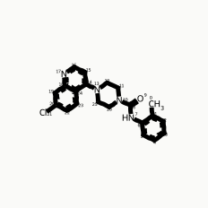 Cc1ccccc1NC(=O)N1CCN(c2ccnc3cc(Cl)ccc23)CC1